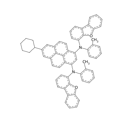 Cc1ccccc1N(c1cc(N(c2ccccc2C)c2cccc3c2oc2ccccc23)c2ccc3cc(C4CCCCC4)cc4ccc1c2c43)c1cccc2c1oc1ccccc12